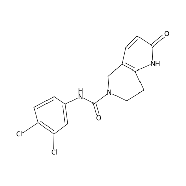 O=C(Nc1ccc(Cl)c(Cl)c1)N1CCc2[nH]c(=O)ccc2C1